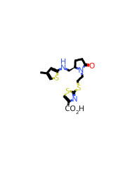 Cc1csc(NC[C@H]2CCC(=O)N2CCSc2nc(C(=O)O)cs2)c1